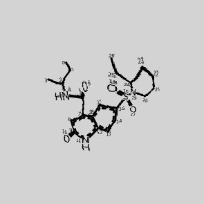 CCC(C)NC(=O)c1cc(=O)[nH]c2ccc(S(=O)(=O)N3CCCCC3CC)cc12